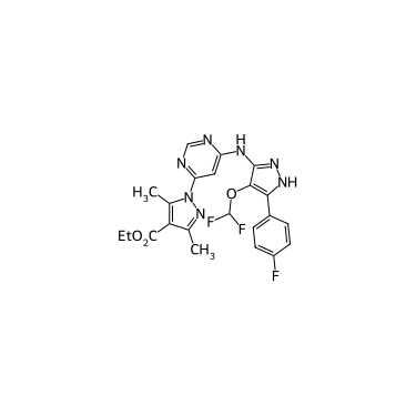 CCOC(=O)c1c(C)nn(-c2cc(Nc3n[nH]c(-c4ccc(F)cc4)c3OC(F)F)ncn2)c1C